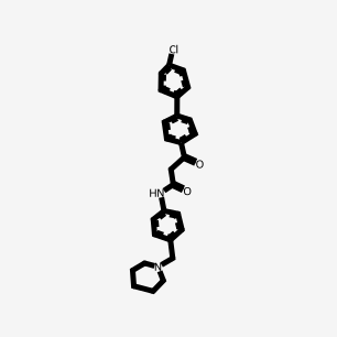 O=C(CC(=O)c1ccc(-c2ccc(Cl)cc2)cc1)Nc1ccc(CN2CCCCC2)cc1